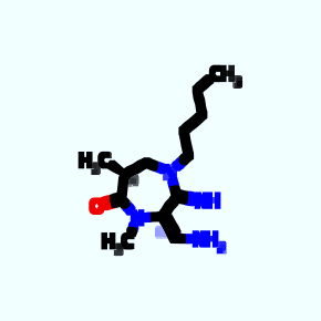 CCCCCN1C[C@H](C)C(=O)N(C)/C(=C/N)C1=N